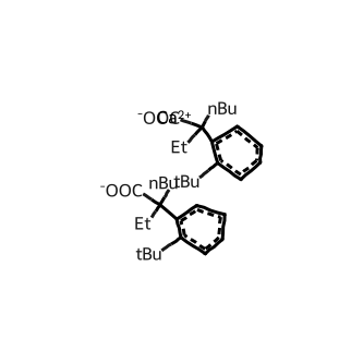 CCCCC(CC)(C(=O)[O-])c1ccccc1C(C)(C)C.CCCCC(CC)(C(=O)[O-])c1ccccc1C(C)(C)C.[Ca+2]